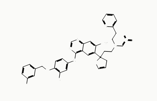 COc1cc2ncnc(Nc3ccc(OCc4cccc(F)c4)c(Br)c3)c2cc1C1(CCN(C=S(=O)=O)CCc2ccccn2)CC=CO1